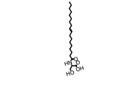 CCCCCCCCC=CCCCCCCCC(=O)NC(CO)C(=O)O